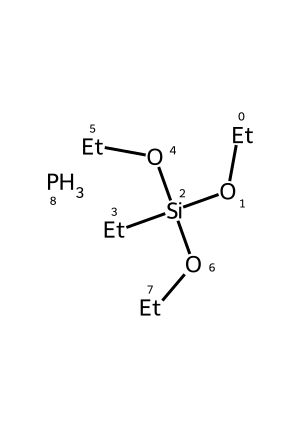 CCO[Si](CC)(OCC)OCC.P